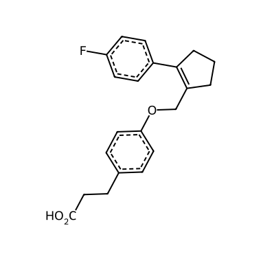 O=C(O)CCc1ccc(OCC2=C(c3ccc(F)cc3)CCC2)cc1